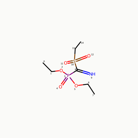 CCOP(=O)(OCC)C(=N)S(=O)(=O)CC